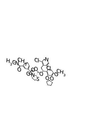 COc1ccc([C@H](Cc2c(Cl)cncc2Cl)OC(=O)[C@@H]2SCCN2S(=O)(=O)c2cccc(C(=O)N(C)C)c2)c2c1OC1(CCCC1)O2